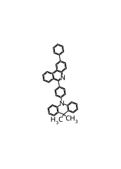 CC1(C)c2ccccc2N(c2ccc(-c3nc4ccc(-c5ccccc5)cc4c4ccccc34)cc2)c2ccccc21